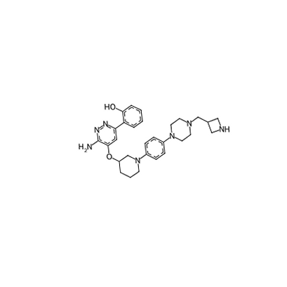 Nc1nnc(-c2ccccc2O)cc1OC1CCCN(c2ccc(N3CCN(CC4CNC4)CC3)cc2)C1